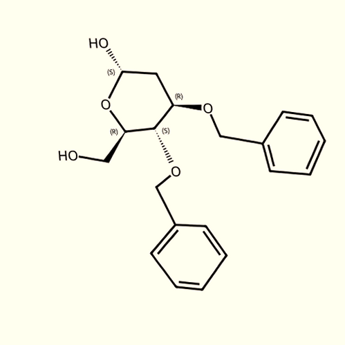 OC[C@H]1O[C@H](O)C[C@@H](OCc2ccccc2)[C@@H]1OCc1ccccc1